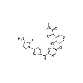 CN(C)C(=O)C(=O)c1ccccc1Nc1nc(Nc2ccc(N3CCC(N)C3=O)cc2)ncc1Cl